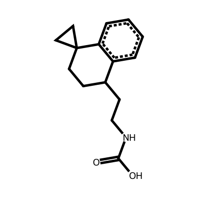 O=C(O)NCCC1CCC2(CC2)c2ccccc21